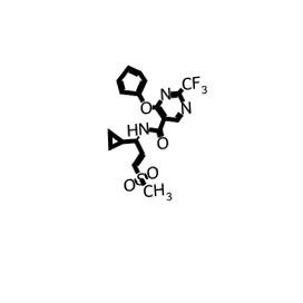 CS(=O)(=O)/C=C/[C@@H](NC(=O)c1cnc(C(F)(F)F)nc1Oc1ccccc1)C1CC1